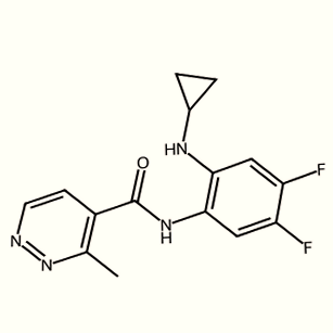 Cc1nnccc1C(=O)Nc1cc(F)c(F)cc1NC1CC1